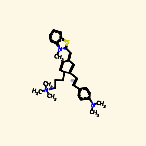 CN(C)c1ccc(/C=C/C2=CC(=Cc3sc4ccccc4[n+]3C)C=CC2CCC[N+](C)(C)C)cc1